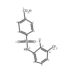 O=C(O)c1ccc(S(=O)(=O)Nc2cccc(C(F)(F)F)c2F)cc1